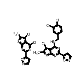 Cc1sc2nc(-c3ccno3)nc(Cl)c2c1Cl.Cc1sc2nc(-c3ccno3)nc(NCc3ccc(Cl)c(Cl)c3)c2c1Cl